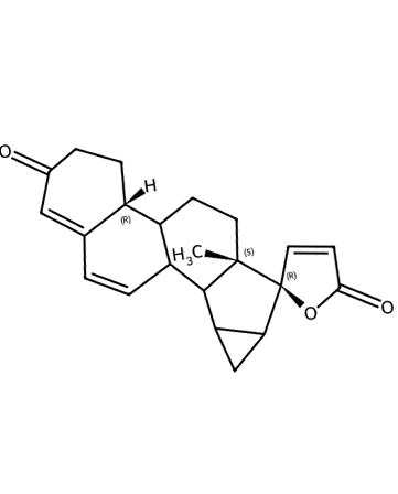 C[C@]12CCC3C(C=CC4=CC(=O)CC[C@@H]43)C1C1CC1[C@@]21C=CC(=O)O1